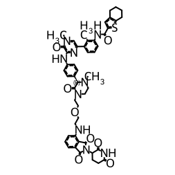 Cc1c(NC(=O)c2cc3c(s2)CCCC3)cccc1-c1cn(C)c(=O)c(Nc2ccc([C@@H]3C(=O)N(CCOCCNc4cccc5c4C(=O)N(C4CCC(=O)NC4=O)C5=O)CCN3C)cc2)n1